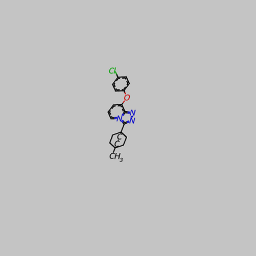 CC12CCC(c3nnc4c(Oc5ccc(Cl)cc5)cccn34)(CC1)CC2